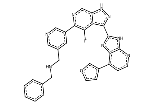 Fc1c(-c2cncc(CNCc3ccccc3)c2)ncc2[nH]nc(-c3nc4c(-c5ccoc5)ccnc4[nH]3)c12